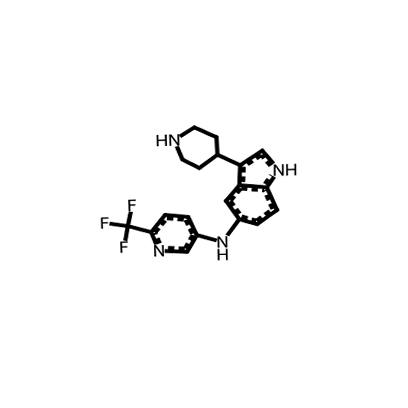 FC(F)(F)c1ccc(Nc2ccc3[nH]cc(C4CCNCC4)c3c2)cn1